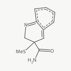 CSC1(C(N)=O)C=c2ccccc2=NC1